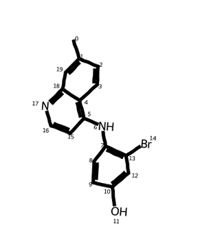 Cc1ccc2c(Nc3ccc(O)cc3Br)ccnc2c1